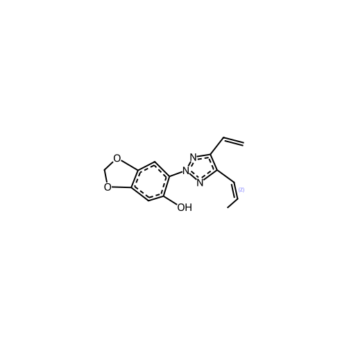 C=Cc1nn(-c2cc3c(cc2O)OCO3)nc1/C=C\C